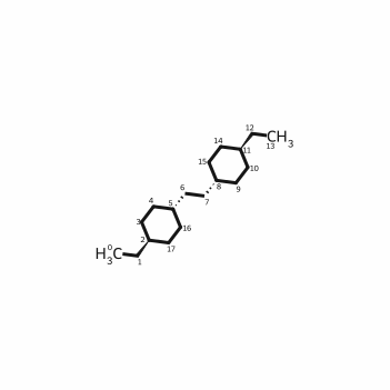 CC[C@H]1CC[C@H](CC[C@H]2CC[C@H](CC)CC2)CC1